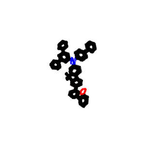 CC1(C)c2cc(-c3cccc4c3oc3ccccc34)ccc2-c2ccc(N(c3ccc(-c4ccccc4)cc3)c3cc(-c4ccccc4)cc(-c4ccccc4)c3)cc21